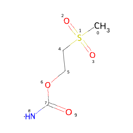 CS(=O)(=O)CCOC([NH])=O